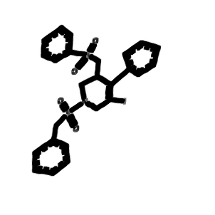 O=S(=O)(CC1CN(S(=O)(=O)Cc2ccccc2)CC(I)=C1c1ccccc1)c1ccccc1